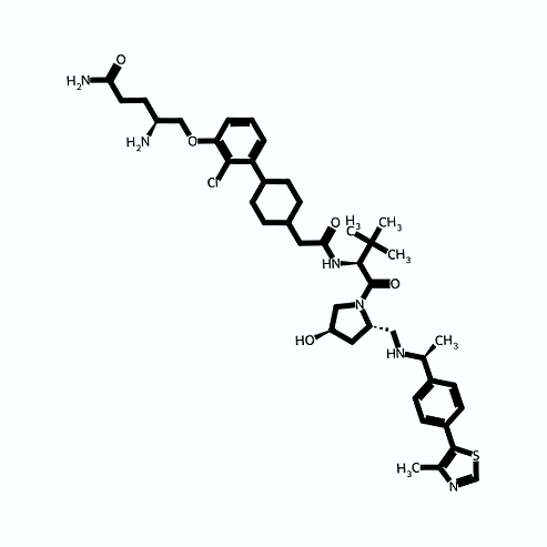 Cc1ncsc1-c1ccc([C@H](C)NC[C@@H]2C[C@@H](O)CN2C(=O)[C@@H](NC(=O)CC2CCC(c3cccc(OC[C@@H](N)CCC(N)=O)c3Cl)CC2)C(C)(C)C)cc1